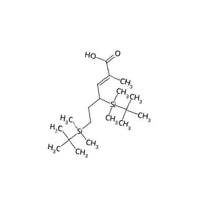 CC(=CC(CC[Si](C)(C)C(C)(C)C)[Si](C)(C)C(C)(C)C)C(=O)O